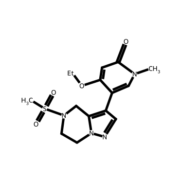 CCOc1cc(=O)n(C)cc1-c1cnn2c1CN(S(C)(=O)=O)CC2